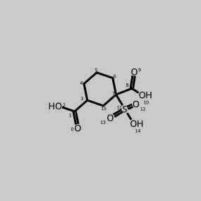 O=C(O)C1CCCC(C(=O)O)(S(=O)(=O)O)C1